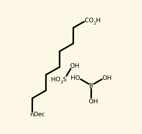 CCCCCCCCCCCCCCCCCC(=O)O.O=S(=O)(O)O.OB(O)O